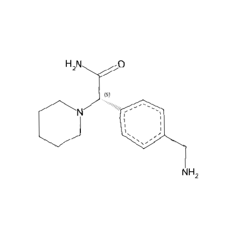 NCc1ccc([C@@H](C(N)=O)N2CCCCC2)cc1